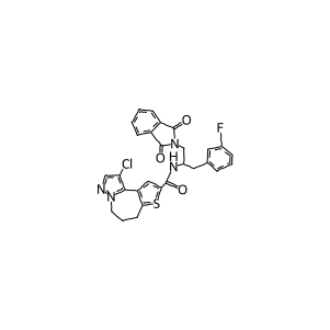 O=C(NC(Cc1cccc(F)c1)CN1C(=O)c2ccccc2C1=O)c1cc2c(s1)CCCn1ncc(Cl)c1-2